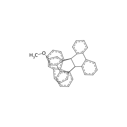 COc1cc2c3c(cccc3c1)C13c4ccccc4-c4ccccc4C21c1ccccc1-c1ccccc13